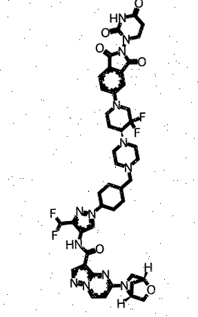 O=C1CCN(N2C(=O)c3ccc(N4CC[C@@H](N5CCN(CC6CCC(n7cc(NC(=O)c8cnn9ccc(N%10C[C@H]%11C[C@@H]%10CO%11)nc89)c(C(F)F)n7)CC6)CC5)C(F)(F)C4)cc3C2=O)C(=O)N1